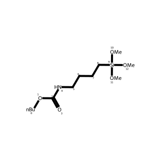 CCCCOC(=O)NCCCC[Si](OC)(OC)OC